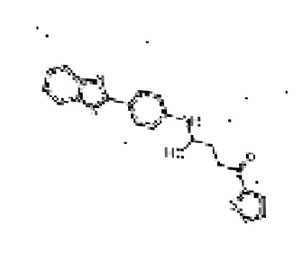 O=C(CCC(O)Nc1ccc(-c2nc3ccccc3s2)cc1)c1cccs1